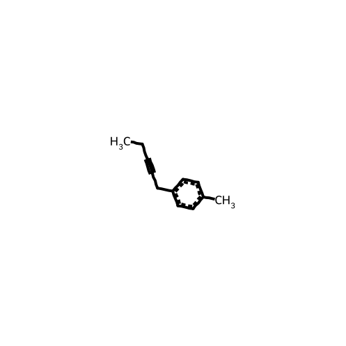 CCC#CCc1ccc(C)cc1